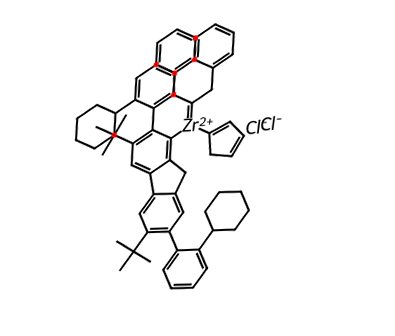 CC(C)(C)c1cc2c(cc1-c1ccccc1C1CCCCC1)Cc1c-2cc(C(C)(C)C)c(-c2ccccc2C2CCCCC2)[c]1[Zr+2]([C]1=CC=CC1)=[C](Cc1ccccc1)Cc1ccccc1.[Cl-].[Cl-]